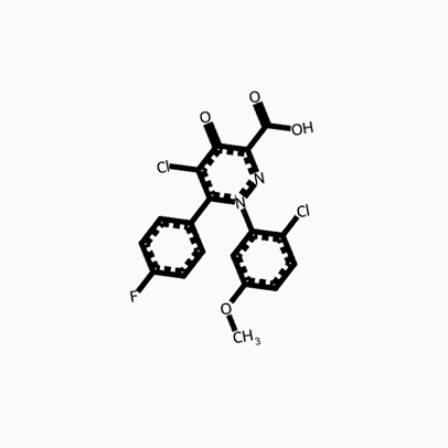 COc1ccc(Cl)c(-n2nc(C(=O)O)c(=O)c(Cl)c2-c2ccc(F)cc2)c1